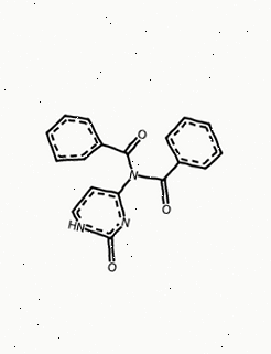 O=C(c1ccccc1)N(C(=O)c1ccccc1)c1cc[nH]c(=O)n1